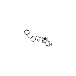 c1ccc(Cc2ccc3c(c2)CC(Cn2nc4ccncc4n2)O3)cc1